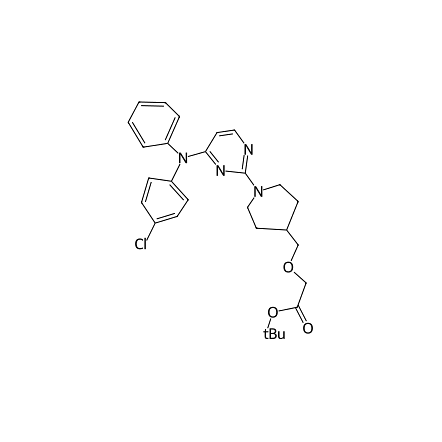 CC(C)(C)OC(=O)COCC1CCN(c2nccc(N(c3ccccc3)c3ccc(Cl)cc3)n2)CC1